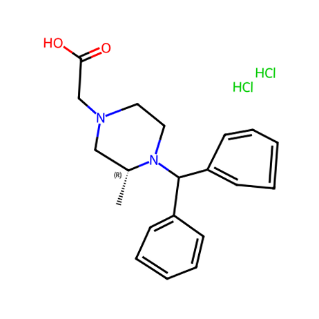 C[C@@H]1CN(CC(=O)O)CCN1C(c1ccccc1)c1ccccc1.Cl.Cl